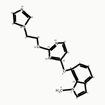 Cn1ccc2cccc(Oc3ccnc(OCCn4ccnc4)n3)c21